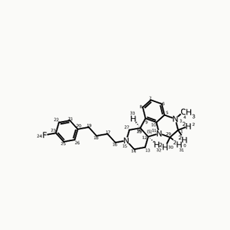 [2H]C1([2H])N(C)c2cccc3c2N([C@H]2CCN(CCCCc4ccc(F)cc4)C[C@@H]32)C1([2H])[2H]